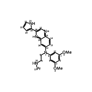 COc1cc(OC)cc(N(CCNC(C)C)c2ccc3ncc(-c4ccc[nH]4)nc3c2)c1